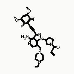 C=CC(=O)N1CCC(n2nc(C#Cc3c(F)c(OC)cc(OC)c3F)c3c(N)ncc(CN4CCN(CC)CC4)c32)C1